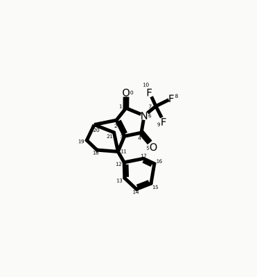 O=C1C2=C(C(=O)N1C(F)(F)F)C1(c3ccccc3)CCC2C1